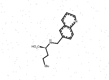 CC(C)(C)CC[C@H](NCc1ccc2ncccc2c1)C(=O)O